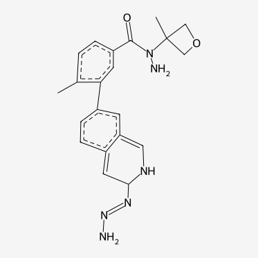 Cc1ccc(C(=O)N(N)C2(C)COC2)cc1-c1ccc2c(c1)=CNC(N=NN)C=2